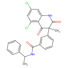 CC(NC(=O)c1cccc(C2(C)C(=O)Nc3cc(Cl)cc(Cl)c3C2=O)c1)c1ccccc1